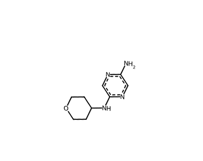 Nc1cnc(NC2CCOCC2)cn1